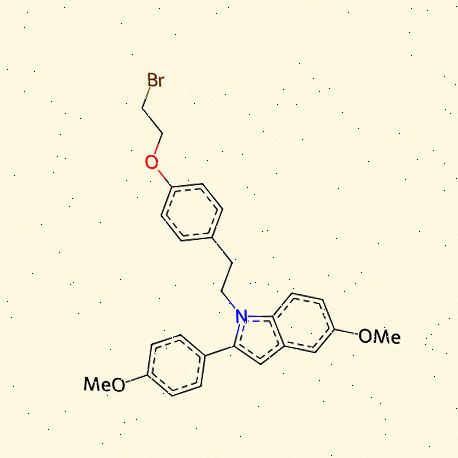 COc1ccc(-c2cc3cc(OC)ccc3n2CCc2ccc(OCCBr)cc2)cc1